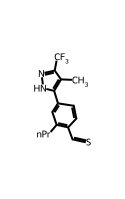 CCCc1cc(-c2[nH]nc(C(F)(F)F)c2C)ccc1C=S